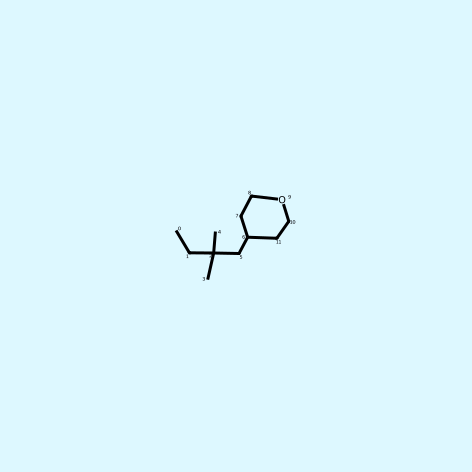 CCC(C)(C)CC1CCOCC1